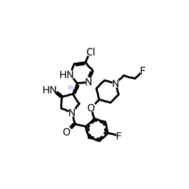 N=C1CN(C(=O)c2ccc(F)cc2OC2CCN(CCF)CC2)C/C1=C1\N=CC(Cl)=CN1